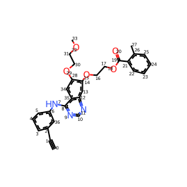 C#Cc1cccc(Nc2ncnc3cc(OCCOC(=O)c4ccccc4C)c(OCCOC)cc23)c1